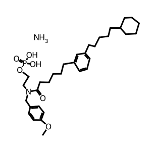 COc1ccc(CN(CCOP(=O)(O)O)C(=O)CCCCCc2cccc(CCCCCC3CCCCC3)c2)cc1.N